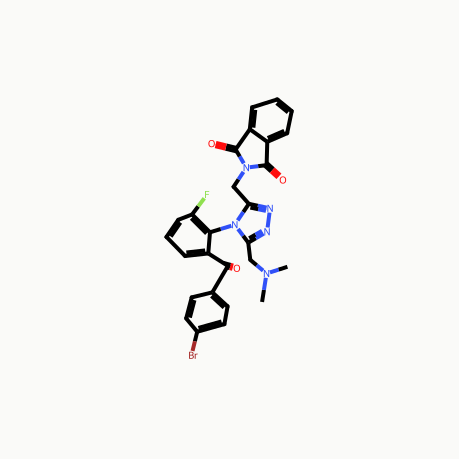 CN(C)Cc1nnc(CN2C(=O)c3ccccc3C2=O)n1-c1c(F)cccc1C(=O)c1ccc(Br)cc1